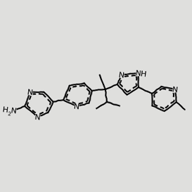 Cc1ccc(-c2cc(C(C)(c3ccc(-c4cnc(N)nc4)nc3)C(C)C)n[nH]2)cn1